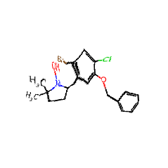 CC1(C)CCC(c2cc(OCc3ccccc3)c(Cl)cc2Br)N1O